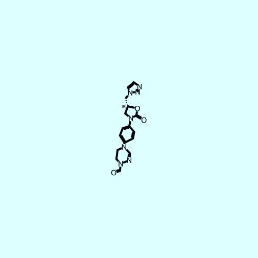 O=CN1CCN(c2ccc(N3C[C@H](Cn4ccnn4)OC3=O)cc2)C=N1